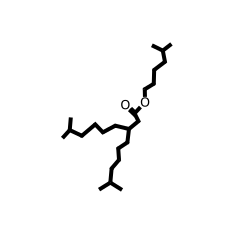 CC(C)CCCCOC(=O)CC(CCCCC(C)C)CCCCC(C)C